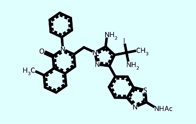 CC(=O)Nc1nc2ccc(-c3nn(Cc4cc5cccc(C)c5c(=O)n4-c4ccccc4)c(N)c3C(C)(N)I)cc2s1